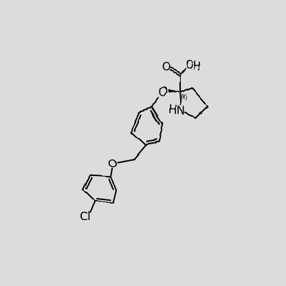 O=C(O)[C@]1(Oc2ccc(COc3ccc(Cl)cc3)cc2)CCCN1